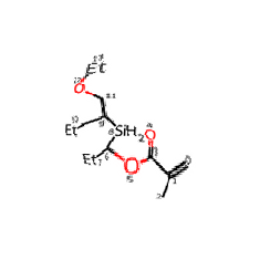 C=C(C)C(=O)OC(CC)[SiH2]C(CC)COCC